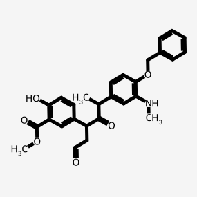 CNc1cc(C(C)C(=O)C(CC=O)c2ccc(O)c(C(=O)OC)c2)ccc1OCc1ccccc1